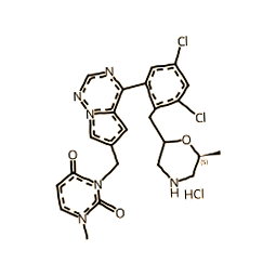 C[C@H]1CNCC(Cc2c(Cl)cc(Cl)cc2-c2ncnn3cc(Cn4c(=O)ccn(C)c4=O)cc23)O1.Cl